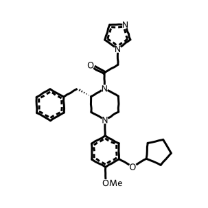 COc1ccc(N2CCN(C(=O)Cn3ccnc3)[C@@H](Cc3ccccc3)C2)cc1OC1CCCC1